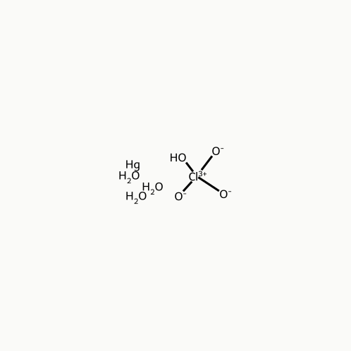 O.O.O.[Hg].[O-][Cl+3]([O-])([O-])O